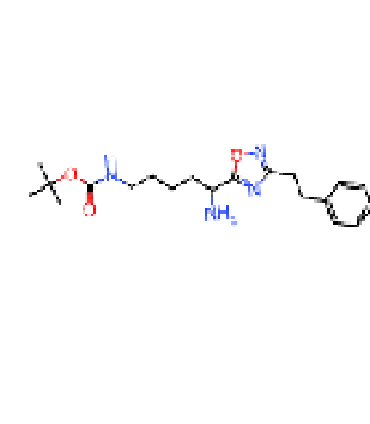 CC(C)(C)OC(=O)NCCCCC(N)c1nc(CCc2ccccc2)no1